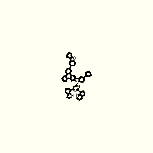 c1ccc(-c2ccc3c(c2)c2cc4c5cc(-c6ccc7oc8ccccc8c7c6)ccc5c5ccccc5c4cc2n3-c2cc(-c3cccc4cccnc34)nc(-c3cccc4cccnc34)n2)cc1